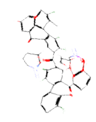 Cc1c(F)cccc1C1=C(C(=O)c2cccc(O)c2)[C@H](C2CCCNC2)[C@@](CCO)(C(=O)[C@@]2(CCO)C(F)=C(F)C(c3cccc(F)c3C)=C(C(=O)c3cccc(O)c3)[C@@H]2C2CCCNC2)C(F)=C1F